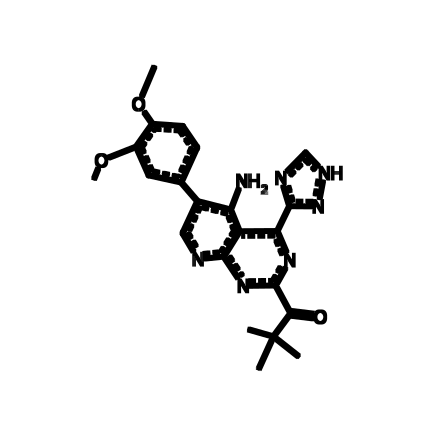 COc1ccc(-c2cnc3nc(C(=O)C(C)(C)C)nc(-c4nc[nH]n4)c3c2N)cc1OC